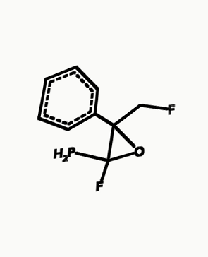 FCC1(c2ccccc2)OC1(F)P